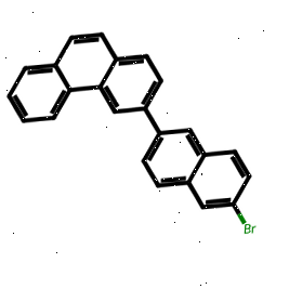 Brc1ccc2cc(-c3ccc4ccc5ccccc5c4c3)ccc2c1